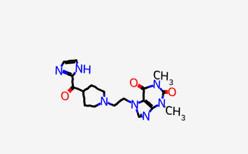 Cn1c(=O)c2c(ncn2CCN2CCC(C(=O)c3ncc[nH]3)CC2)n(C)c1=O